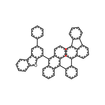 c1ccc(-c2cc(-c3c4ccccc4c(-c4ccccc4-c4ccc5c6c(cccc46)-c4ccccc4-5)c4ccccc34)c3oc4ccccc4c3c2)cc1